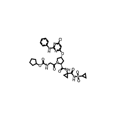 O=C(NCC(=O)N1C[C@H](Oc2cc(Cl)nc(Nc3ccccc3)n2)C[C@H]1C(=O)NC1(C(=O)NS(=O)(=O)C2CC2)CC1)OC1CCCC1